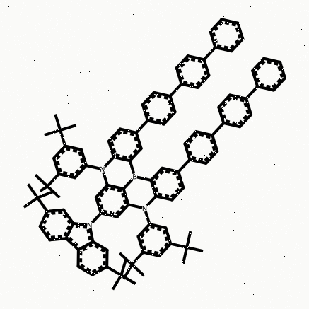 CC(C)(C)c1cc(N2c3ccc(-c4ccc(-c5ccc(-c6ccccc6)cc5)cc4)cc3B3c4cc(-c5ccc(-c6ccc(-c7ccccc7)cc6)cc5)ccc4N(c4cc(C(C)(C)C)cc(C(C)(C)C)c4)c4cc(-n5c6cc(C(C)(C)C)ccc6c6ccc(C(C)(C)C)cc65)cc2c43)cc(C(C)(C)C)c1